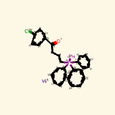 I.O=C(CCCP(P)(c1ccccc1)(c1ccccc1)c1ccccc1)c1ccc(Cl)cc1